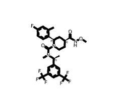 CONC(=O)[C@H]1CCN(C(=O)N(C)[C@@H](C)c2cc(C(F)(F)F)cc(C(F)(F)F)c2)[C@@H](c2ccc(F)cc2C)C1